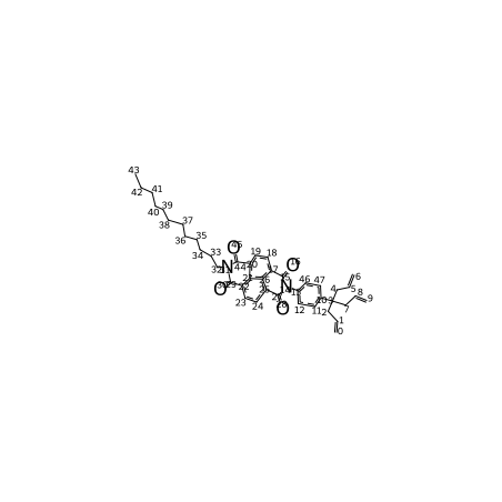 C=CCC(CC=C)(CC=C)c1ccc(N2C(=O)c3ccc4c5c(ccc(c35)C2=O)C(=O)N(CCCCCCCCCCCC)C4=O)cc1